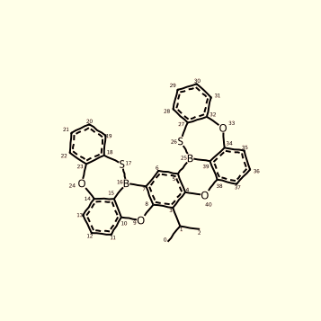 CC(C)c1c2c(cc3c1Oc1cccc4c1B3Sc1ccccc1O4)B1Sc3ccccc3Oc3cccc(c31)O2